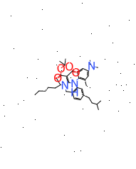 CCCCCC(C)N(Cc1ccc(CCC(C)C)cc1)C(Nc1ccc(N(C)C)cc1C)=C1C(=O)OC(C)(C)OC1=O